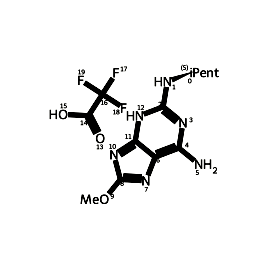 CCC[C@H](C)Nc1nc(N)c2nc(OC)nc-2[nH]1.O=C(O)C(F)(F)F